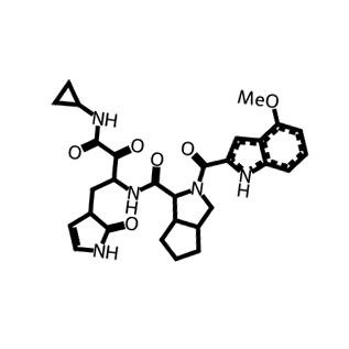 COc1cccc2[nH]c(C(=O)N3CC4CCCC4C3C(=O)NC(CC3C=CNC3=O)C(=O)C(=O)NC3CC3)cc12